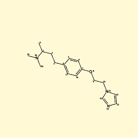 CC(CCc1ccc(OCCn2ccnc2)cc1)N(C)C